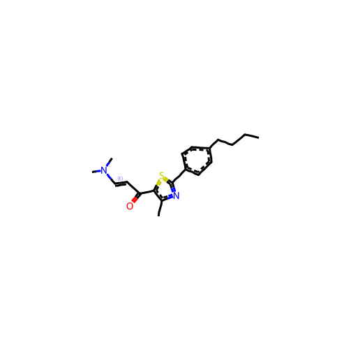 CCCCc1ccc(-c2nc(C)c(C(=O)/C=C/N(C)C)s2)cc1